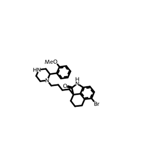 COc1ccccc1C1CNCCN1CCCCC12CCCc3c(Br)ccc(c31)NC2=O